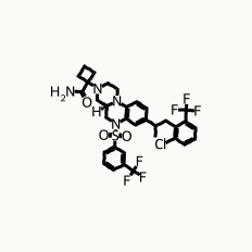 CC(Cc1c(Cl)cccc1C(F)(F)F)c1ccc2c(c1)N(S(=O)(=O)c1cccc(C(F)(F)F)c1)C[C@@H]1CN(C3(C(N)=O)CCC3)CCN21